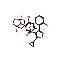 O=C(O)c1ccc(N2[C@@H]3CC[C@H]2C[C@H](OC(=O)c2c(-c4c(Cl)cccc4Cl)noc2C2CC2)C3)c(C(F)(F)F)c1